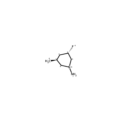 C[C@H]1C[C@H](F)CN(N)C1